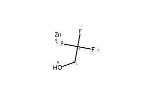 OCC(F)(F)F.[Zn]